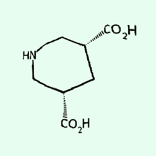 O=C(O)[C@@H]1CNC[C@H](C(=O)O)C1